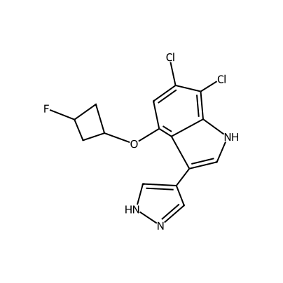 FC1CC(Oc2cc(Cl)c(Cl)c3[nH]cc(-c4cn[nH]c4)c23)C1